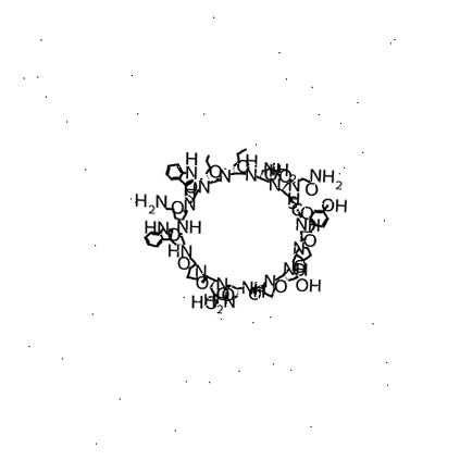 CCCC[C@@H]1C(=O)N(C)[C@H](CCCC)C(=O)N[C@@H](CN)C(=O)N[C@@H](C(=O)NCC(N)=O)CSCC(=O)N[C@@H](Cc2ccc(O)cc2)C(=O)N2CCCC2C(=O)N[C@H](CC(=O)O)C(=O)N2CCC[C@H]2C(=O)N[C@H](CN)C(=O)N[C@@H](CC(=O)O)C(=O)N2CCCC2C(=O)N[C@H](Cc2c[nH]c3ccccc23)C(=O)N[C@@H](CCCN)C(=O)N[C@@H](Cc2c[nH]c3ccccc23)C(=O)N1C